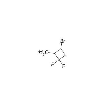 [CH2]C1C(Br)CC1(F)F